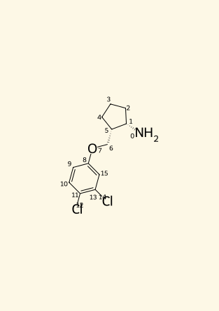 N[C@H]1CCC[C@H]1COc1ccc(Cl)c(Cl)c1